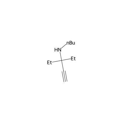 C#CC(CC)(CC)NCCCC